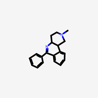 CN1CCC2N=C(c3ccccc3)c3ccccc3C2C1